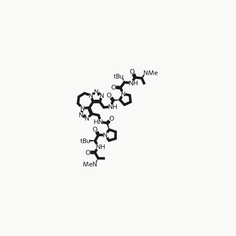 CN[C@@H](C)C(=O)N[C@H](C(=O)N1CCC[C@@H]1C(=O)NCc1nnn2c1-c1c(CNC(=O)[C@@H]3CCCN3C(=O)[C@@H](NC(=O)[C@H](C)NC)C(C)(C)C)nnn1CCC2)C(C)(C)C